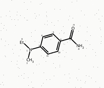 CCN(C)c1ccc(C(N)=O)cc1